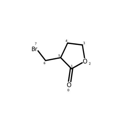 O=C1OCCC1CBr